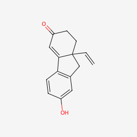 C=CC12CCC(=O)C=C1c1ccc(O)cc1C2